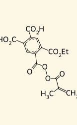 C=C(C)C(=O)OOC(=O)c1cc(C(=O)O)c(C(=O)O)cc1C(=O)OCC